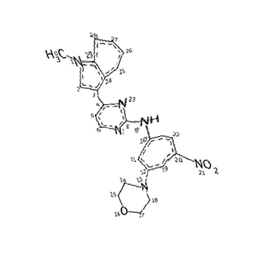 Cn1cc(-c2ccnc(Nc3cc(N4CCOCC4)cc([N+](=O)[O-])c3)n2)c2ccccc21